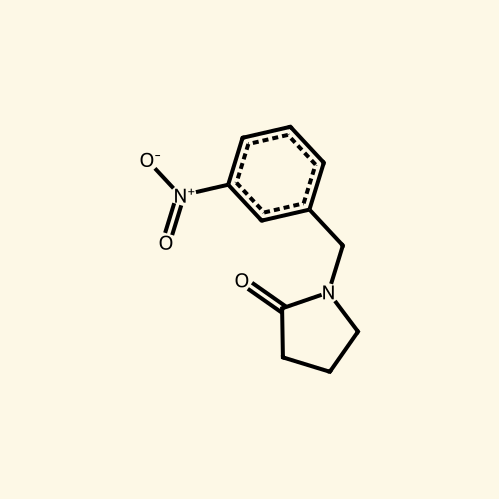 O=C1CCCN1Cc1cccc([N+](=O)[O-])c1